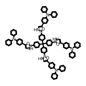 C1=C(c2ccc(N(c3ccccc3)c3ccccc3)cc2)ON(c2ccc(C(c3ccc(N4NC=C(c5ccc(N(c6ccccc6)c6ccccc6)cc5)O4)cc3)(c3ccc(N4NC=C(c5ccc(N(c6ccccc6)c6ccccc6)cc5)O4)cc3)c3ccc(N4NC=C(c5ccc(N(c6ccccc6)c6ccccc6)cc5)O4)cc3)cc2)N1